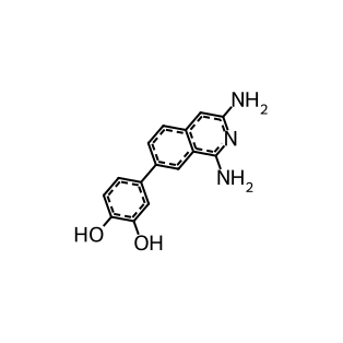 Nc1cc2ccc(-c3ccc(O)c(O)c3)cc2c(N)n1